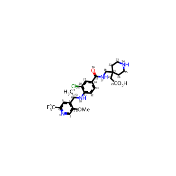 COc1cnc(C(F)(F)F)cc1[C@H](C)Nc1ccc(C(=O)NCC2(CC(=O)O)CCNCC2)cc1Cl